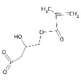 C=C(C)C(=O)OCC(O)CP(=O)=O